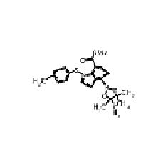 COC(=O)c1ccc(B2OC(C)(C)C(C)(C)O2)c2ccn(Sc3ccc(C)cc3)c12